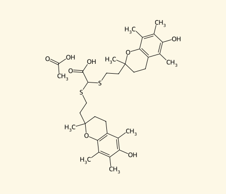 CC(=O)O.Cc1c(C)c2c(c(C)c1O)CCC(C)(CCSC(SCCC1(C)CCc3c(C)c(O)c(C)c(C)c3O1)C(=O)O)O2